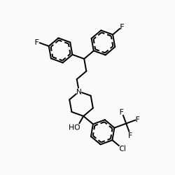 OC1(c2ccc(Cl)c(C(F)(F)F)c2)CCN(CCC(c2ccc(F)cc2)c2ccc(F)cc2)CC1